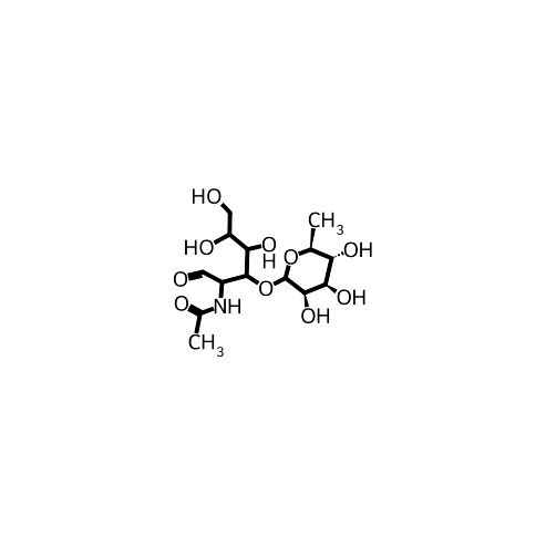 CC(=O)NC(C=O)C(OC1O[C@@H](C)[C@H](O)[C@@H](O)[C@H]1O)C(O)C(O)CO